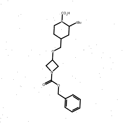 CC(C)(C)C1CC(COC2CN(C(=O)OCc3ccccc3)C2)CCN1C(=O)O